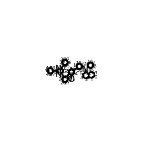 C1=CC2=CC=CC(N(c3ccccc3)c3cccc(-c4ccc5c(c4)oc4cccc(-c6cc(-c7ccccc7)nc(-c7ccccc7)n6)c45)c3)C2C=C1